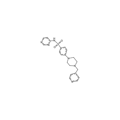 O=S(=O)(Nc1ccncn1)c1ccc(N2CCN(Cc3ccncc3)CC2)cc1